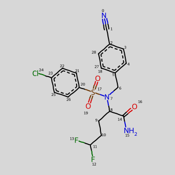 N#Cc1ccc(CN(C(CCC(F)F)C(N)=O)S(=O)(=O)c2ccc(Cl)cc2)cc1